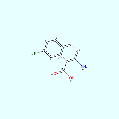 Nc1ccc2ccc(F)cc2c1C(=O)O